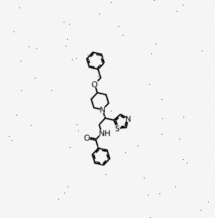 O=C(NCC(c1cncs1)N1CCC(OCc2ccccc2)CC1)c1ccccc1